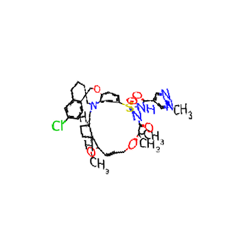 CO[C@H]1/C=C/COC(C)(C)C(=O)N=S(=O)(NC(=O)c2cnn(C)c2)c2ccc3c(c2)N(C[C@@H]2CC[C@H]21)C[C@@]1(CCCc2cc(Cl)ccc21)CO3